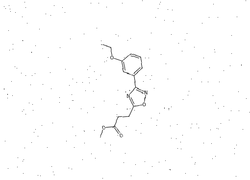 CCOc1cccc(-c2noc(CCC(=O)OC)n2)c1